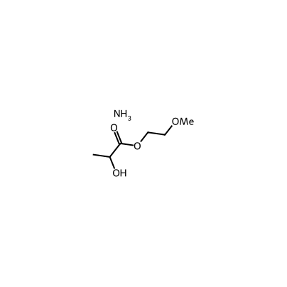 COCCOC(=O)C(C)O.N